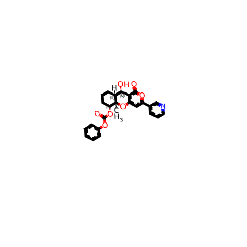 C[C@@]12Oc3cc(-c4cccnc4)oc(=O)c3[C@@H](O)[C@@H]1CCC[C@H]2OC(=O)Oc1ccccc1